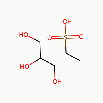 CCS(=O)(=O)O.OCC(O)CO